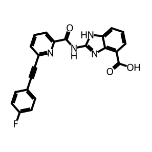 O=C(Nc1nc2c(C(=O)O)cccc2[nH]1)c1cccc(C#Cc2ccc(F)cc2)n1